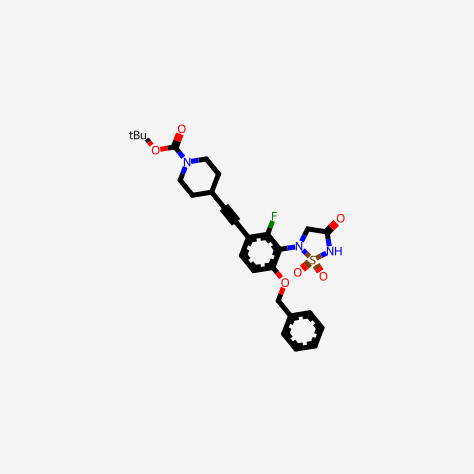 CC(C)(C)OC(=O)N1CCC(C#Cc2ccc(OCc3ccccc3)c(N3CC(=O)NS3(=O)=O)c2F)CC1